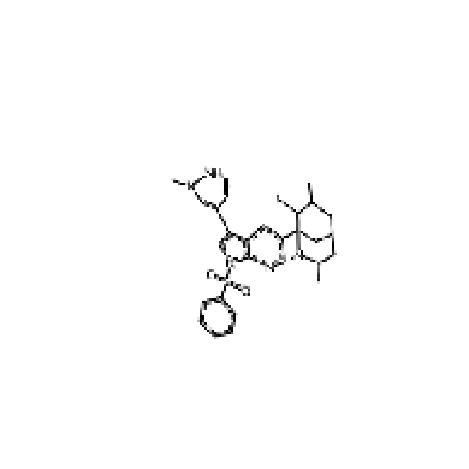 C=C/C(=C\N(C)N)c1cn(S(=O)(=O)c2ccccc2)c2ncc(C34CC(CC(C)C3I)CC(C)N4C)cc12